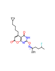 CCC/C(CCC(C)F)=N/Oc1nc2oc(=O)cc(CCCCC3CC3)c2c(=O)[nH]1